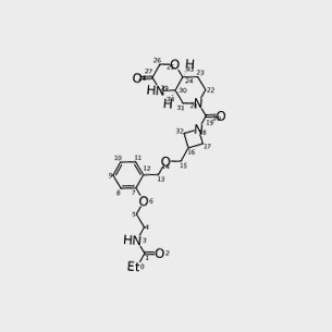 CCC(=O)NCCOc1ccccc1COCC1CN(C(=O)N2CC[C@@H]3OCC(=O)N[C@@H]3C2)C1